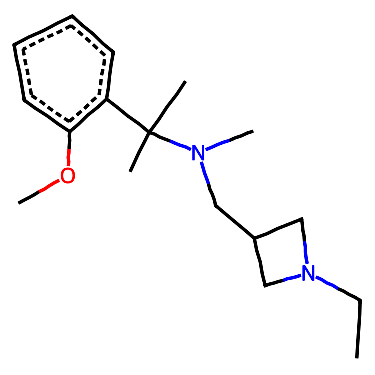 CCN1CC(CN(C)C(C)(C)c2ccccc2OC)C1